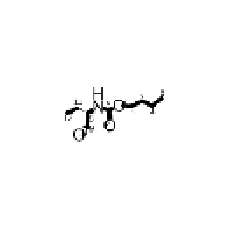 CCCCOC(=O)N[C@H](C=O)CC